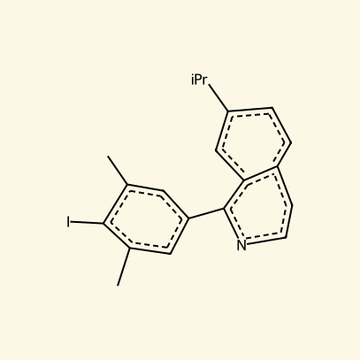 Cc1cc(-c2nccc3ccc(C(C)C)cc23)cc(C)c1I